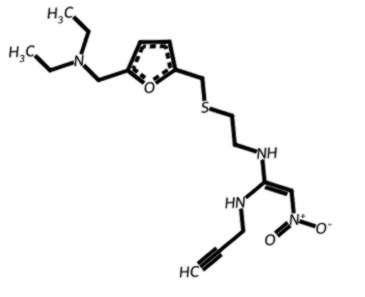 C#CCNC(=C[N+](=O)[O-])NCCSCc1ccc(CN(CC)CC)o1